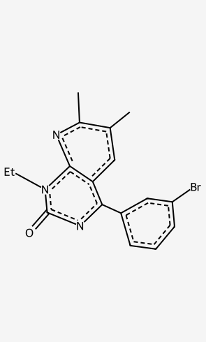 CCn1c(=O)nc(-c2cccc(Br)c2)c2cc(C)c(C)nc21